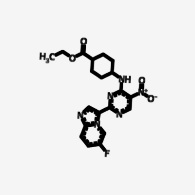 CCOC(=O)C1CCC(Nc2nc(-c3cnc4ccc(F)cn34)ncc2[N+](=O)[O-])CC1